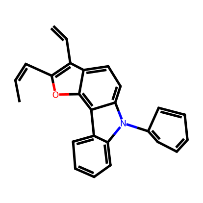 C=Cc1c(/C=C\C)oc2c1ccc1c2c2ccccc2n1-c1ccccc1